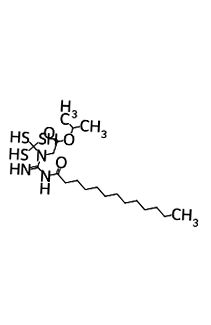 CCCCCCCCCCCCC(=O)NC(=N)N(CC(=O)OC(C)C)C(S)(S)S